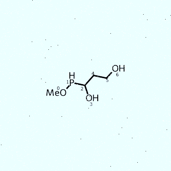 COPC(O)CCO